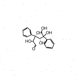 O=C[C@@H](O)[C@@](O)(c1ccccc1)[C@@H](O)[C@](O)(CO)c1ccccc1